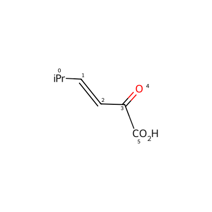 CC(C)C=CC(=O)C(=O)O